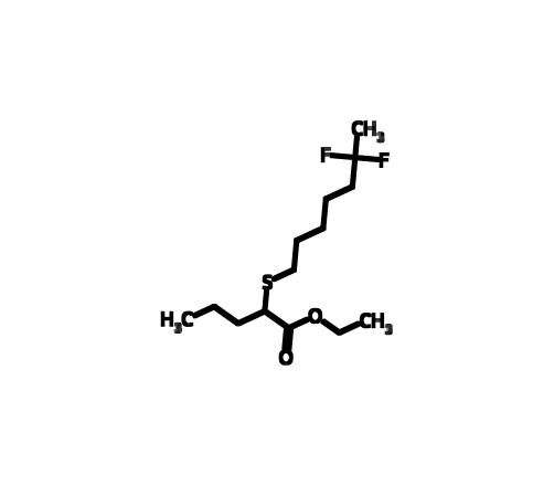 CCCC(SCCCCCC(C)(F)F)C(=O)OCC